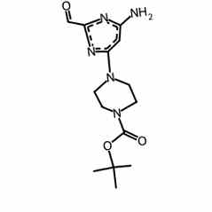 CC(C)(C)OC(=O)N1CCN(c2cc(N)nc(C=O)n2)CC1